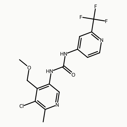 COCc1c(NC(=O)Nc2ccnc(C(F)(F)F)c2)cnc(C)c1Cl